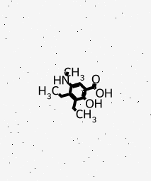 CCc1c(NC)cc(C(=O)O)c(O)c1CC